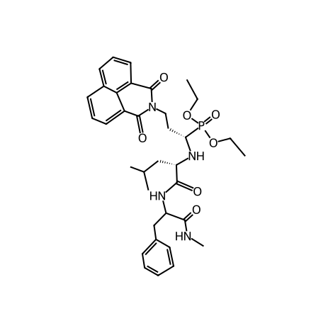 CCOP(=O)(OCC)[C@@H](CCN1C(=O)c2cccc3cccc(c23)C1=O)N[C@@H](CC(C)C)C(=O)NC(Cc1ccccc1)C(=O)NC